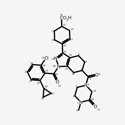 CN1CCN(C(=O)C2CCc3c(C4=CCC(C(=O)O)CC4)nn(C(=O)c4c(Cl)cccc4C4CC4)c3C2)CC1=O